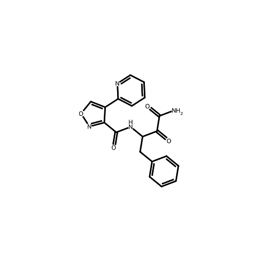 NC(=O)C(=O)C(Cc1ccccc1)NC(=O)c1nocc1-c1ccccn1